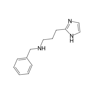 c1ccc(CNCCCc2ncc[nH]2)cc1